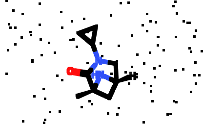 C[C@@]12C[C@@H](CN(C3CC3)C1=O)N2